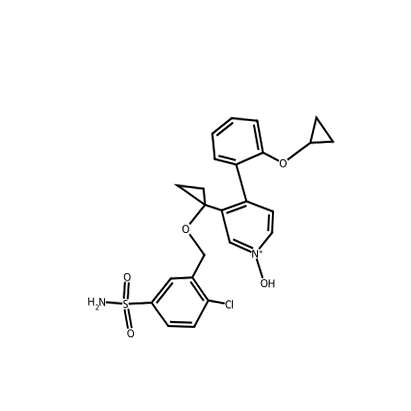 NS(=O)(=O)c1ccc(Cl)c(COC2(c3c[n+](O)ccc3-c3ccccc3OC3CC3)CC2)c1